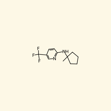 CC1(Nc2ccc(C(F)(F)F)cn2)CCCC1